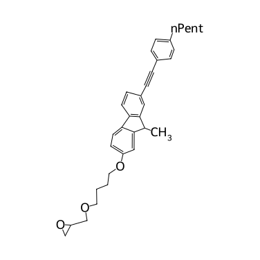 CCCCCc1ccc(C#Cc2ccc3c(c2)C(C)c2cc(OCCCCOCC4CO4)ccc2-3)cc1